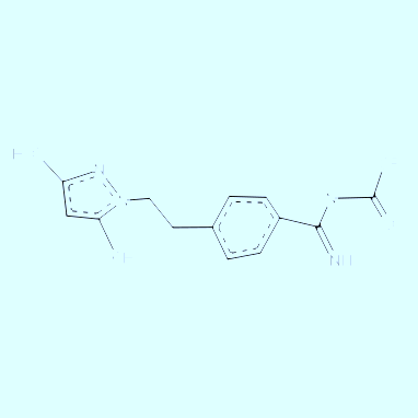 Cc1cc(C)n(CCc2ccc(C(=N)NC(=O)C(F)(F)F)cc2)n1